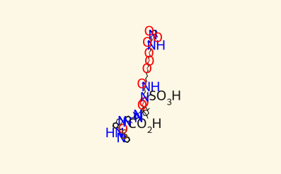 Cc1c(-c2ccc(N3CCc4cccc(C(=O)Nc5nc6ccccc6s5)c4C3)nc2C(=O)O)cnn1CC12CC3(C)CC(C)(C1)CC(OOCN(CCCNC(=O)CCCCCOCCOCCOCCNC(=O)CCN1C(=O)C=CC1=O)CCS(=O)(=O)O)(C3)C2